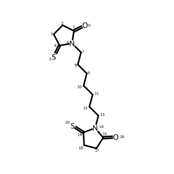 O=C1CCC(=S)N1CCCCCCCN1C(=O)CCC1=S